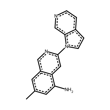 Cc1cc(N)c2cc(-n3ccc4ccncc43)ncc2c1